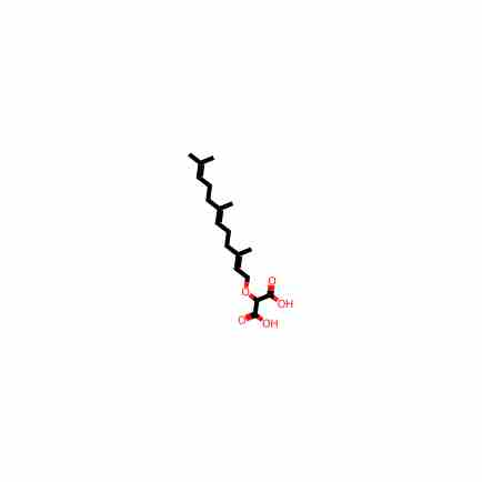 CC(C)=CCC/C(C)=C/CC/C(C)=C/COC(C(=O)O)C(=O)O